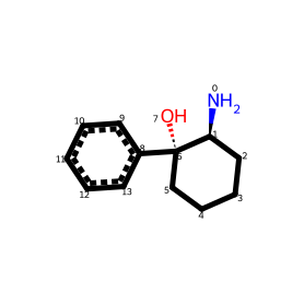 N[C@H]1CCCC[C@@]1(O)c1ccccc1